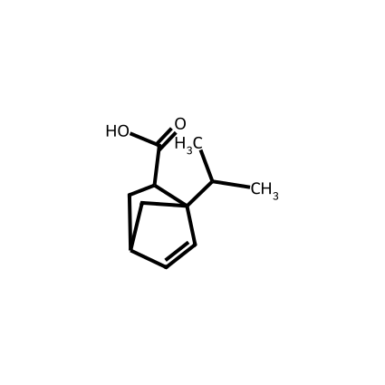 CC(C)C12C=CC(CC1C(=O)O)C2